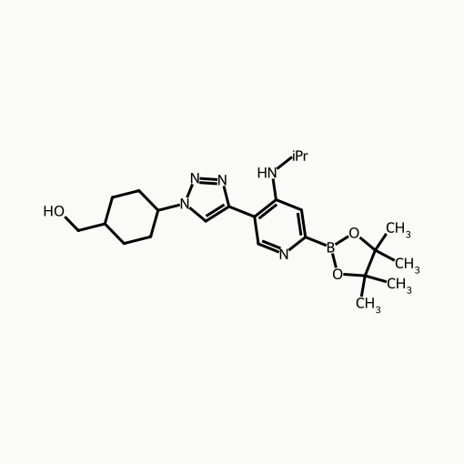 CC(C)Nc1cc(B2OC(C)(C)C(C)(C)O2)ncc1-c1cn(C2CCC(CO)CC2)nn1